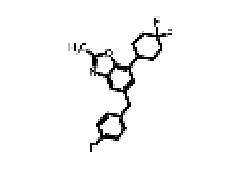 Cc1nc2cc(Cc3ccc(F)cc3)cc(C3CCC(F)(F)CC3)c2o1